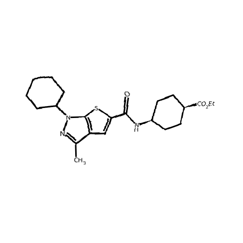 CCOC(=O)[C@H]1CC[C@@H](NC(=O)c2cc3c(C)nn(C4CCCCC4)c3s2)CC1